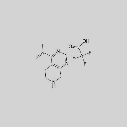 C=C(C)c1ncnc2c1CCNC2.O=C(O)C(F)(F)F